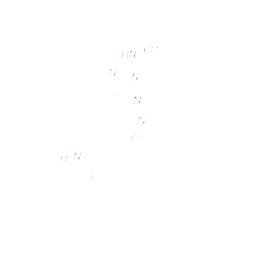 CNc1ncc2c(n1)N1CCN=C1C(c1cc(N)c(F)cc1Cl)=C2